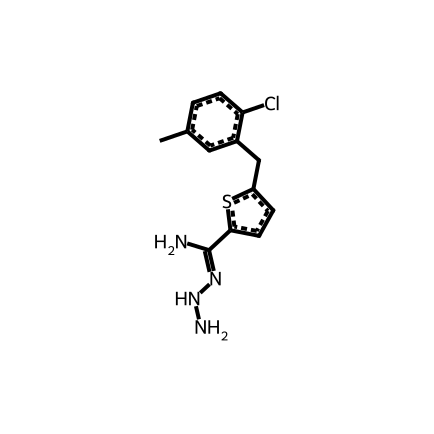 Cc1ccc(Cl)c(Cc2ccc(/C(N)=N/NN)s2)c1